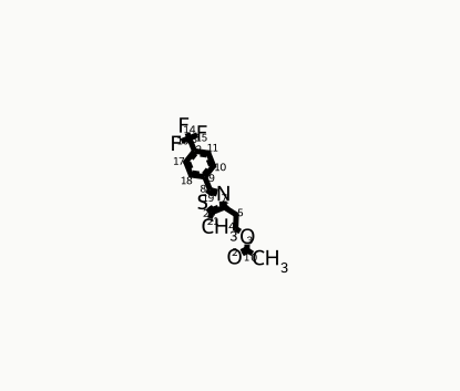 CC(=O)OCCc1nc(-c2ccc(C(F)(F)F)cc2)sc1C